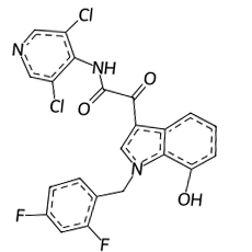 O=C(Nc1c(Cl)cncc1Cl)C(=O)c1cn(Cc2ccc(F)cc2F)c2c(O)cccc12